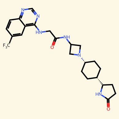 O=C(CNc1ncnc2ccc(C(F)(F)F)cc12)NC1CN([C@H]2CC[C@@H](C3CCC(=O)N3)CC2)C1